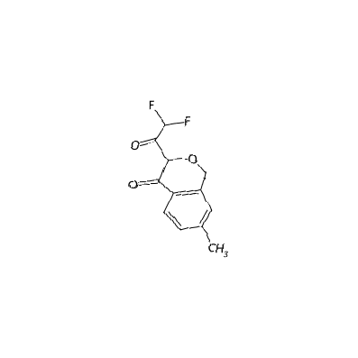 Cc1ccc2c(c1)COC(C(=O)C(F)F)C2=O